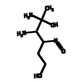 CC(N)(O)C(N)C(CCO)N=O